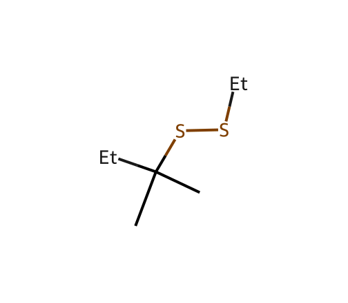 CCSSC(C)(C)CC